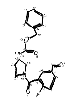 O=Cc1ccc(F)c(C(=O)N2CC[C@H](NC(=O)OCc3ccccc3)C2)c1